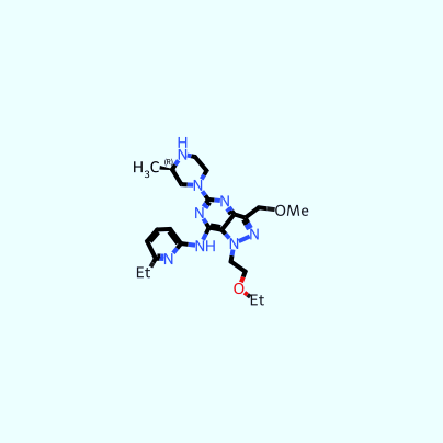 CCOCCn1nc(COC)c2nc(N3CCN[C@H](C)C3)nc(Nc3cccc(CC)n3)c21